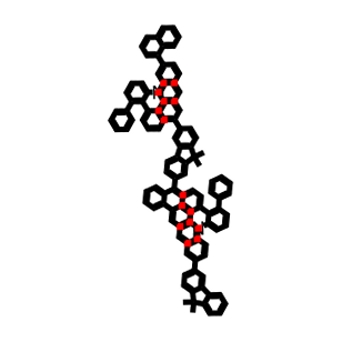 CC1(C)c2ccccc2-c2cc(-c3ccc(N(c4ccc5c(c4)cc(-c4ccc6c(c4)C(C)(C)c4ccc(-c7ccc(N(c8cccc(-c9cccc%10ccccc9%10)c8)c8cccc(-c9ccccc9)c8-c8ccccc8-c8ccccc8)cc7)cc4-6)c4ccccc45)c4cccc(-c5ccccc5)c4-c4ccccc4-c4ccccc4)cc3)ccc21